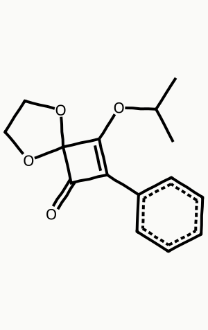 CC(C)OC1=C(c2ccccc2)C(=O)C12OCCO2